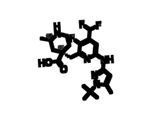 Cc1cc(Nc2cc(C(F)F)c(F)c(C[C@@]3(C(=O)O)CCN[C@H](C)C3)n2)nn1C(C)(C)C